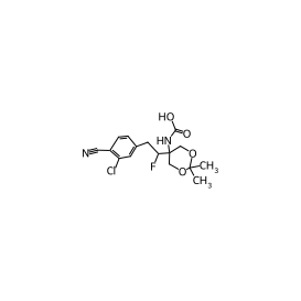 CC1(C)OCC(NC(=O)O)(C(F)Cc2ccc(C#N)c(Cl)c2)CO1